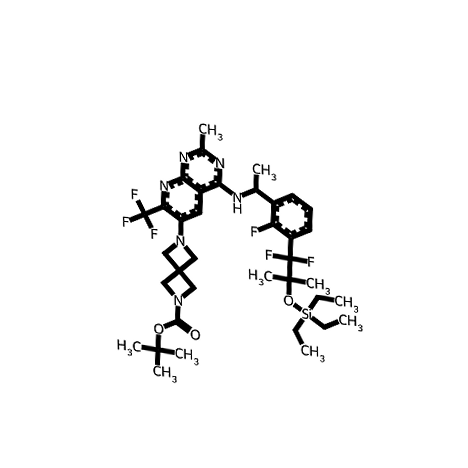 CC[Si](CC)(CC)OC(C)(C)C(F)(F)c1cccc(C(C)Nc2nc(C)nc3nc(C(F)(F)F)c(N4CC5(CN(C(=O)OC(C)(C)C)C5)C4)cc23)c1F